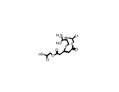 CCCCC(CC)COC(=O)CC(CC(=O)OCC(CC)CCCC)SCCC(N)O